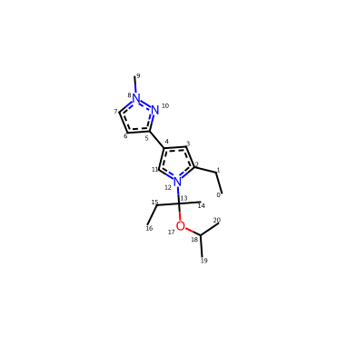 CCc1cc(-c2ccn(C)n2)cn1C(C)(CC)OC(C)C